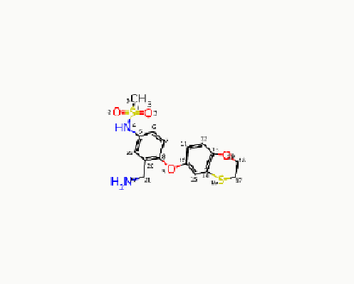 CS(=O)(=O)Nc1ccc(Oc2ccc3c(c2)SCCO3)c(CN)c1